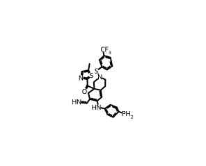 Cc1cnc(C(=O)C23CC(C=N)=C(Nc4ccc(P)cc4)C=C2CCN(Sc2cccc(C(F)(F)F)c2)C3)s1